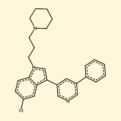 Clc1ccc2c(c1)c(-c1cncc(-c3ccccc3)c1)cn2CCCN1CCCCC1